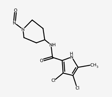 Cc1[nH]c(C(=O)NC2CCN(N=O)CC2)c(Cl)c1Cl